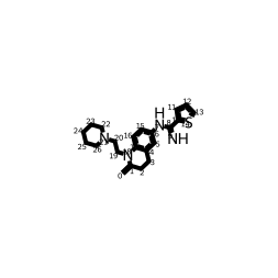 C=C1CCc2cc(NC(=N)c3cccs3)ccc2N1CCN1CCCCC1